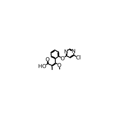 COC(=C(C)C(=O)O)c1ccccc1Oc1cc(Cl)ncn1